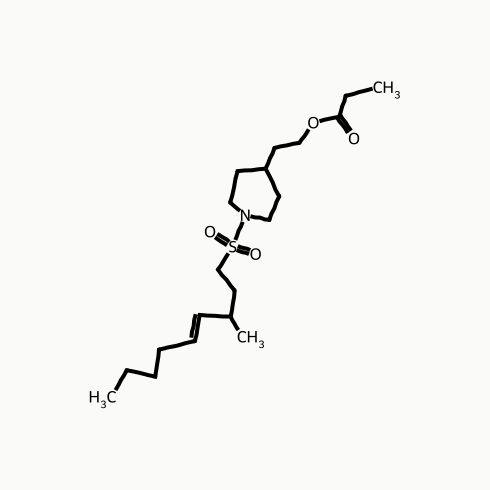 CCCCC=CC(C)CCS(=O)(=O)N1CCC(CCOC(=O)CC)CC1